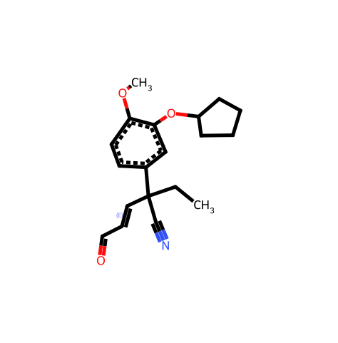 CCC(C#N)(/C=C/C=O)c1ccc(OC)c(OC2CCCC2)c1